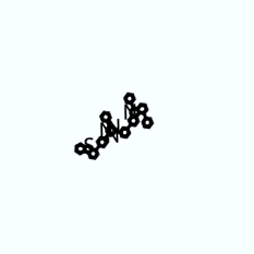 c1ccc(-c2nc(-c3ccc(-c4cccc5c4sc4ccccc45)cc3)nc(-c3cccc(-c4ccc5c(c4)nc(-c4ccccc4)c4cccc(-c6ccccc6)c45)c3)n2)cc1